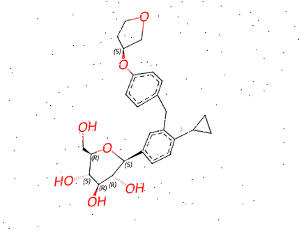 OC[C@H]1O[C@@H](c2ccc(C3CC3)c(Cc3ccc(O[C@H]4CCOC4)cc3)c2)[C@H](O)[C@@H](O)[C@@H]1O